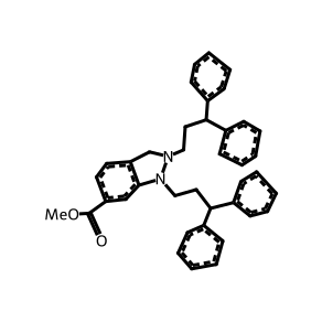 COC(=O)c1ccc2c(c1)N(CCC(c1ccccc1)c1ccccc1)N(CCC(c1ccccc1)c1ccccc1)C2